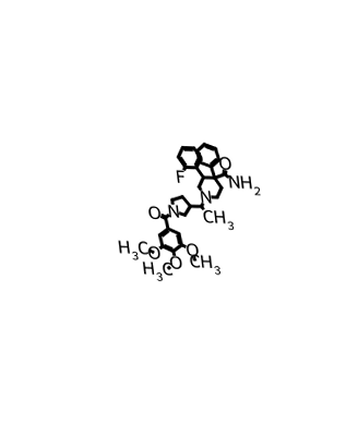 COc1cc(C(=O)N2CCC(C(C)N3CCC(C(N)=O)(c4ccccc4)C(c4ccccc4F)C3)C2)cc(OC)c1OC